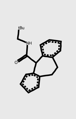 CC(C)(C)CNC(=O)C1c2ccccc2CCc2ccccc21